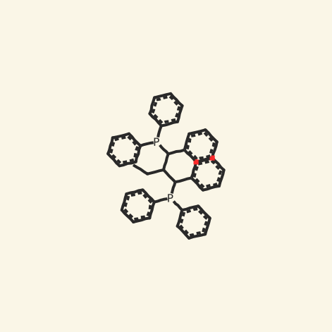 CCC(C(c1ccccc1)P(c1ccccc1)c1ccccc1)C(c1ccccc1)P(c1ccccc1)c1ccccc1